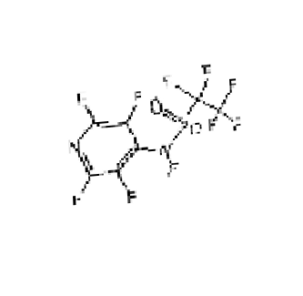 O=S(=O)(N(F)c1c(F)c(F)nc(F)c1F)C(F)(F)C(F)(F)F